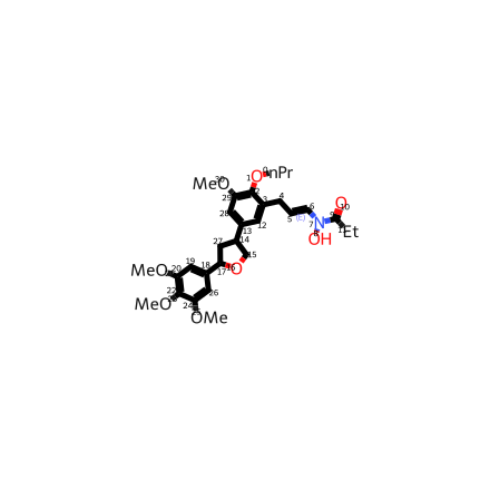 CCCOc1c(C/C=C/N(O)C(=O)CC)cc(C2COC(c3cc(OC)c(OC)c(OC)c3)C2)cc1OC